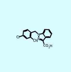 N#Cc1cc(Cl)ccc1Cn1nc(C(=O)O)c2ccccc21